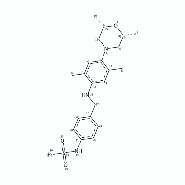 Cc1cc(N2C[C@@H](C)O[C@@H](C)C2)c(C)cc1NCc1ccc(NS(=O)(=O)C(C)C)cc1